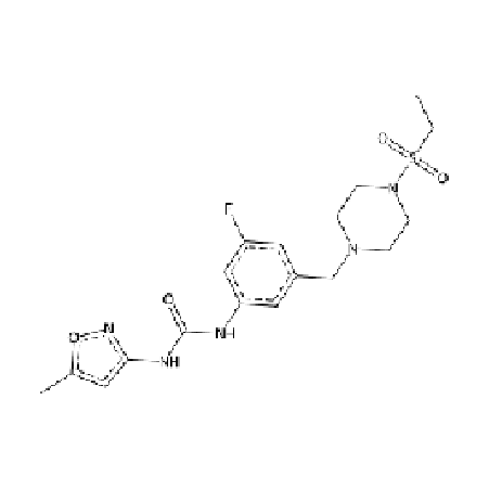 CCS(=O)(=O)N1CCN(Cc2cc(F)cc(NC(=O)Nc3cc(C)on3)c2)CC1